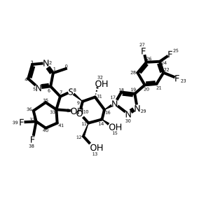 Cc1nccnc1C(S[C@@H]1O[C@H](CO)[C@H](O)[C@H](n2cc(-c3cc(F)c(F)c(F)c3)nn2)[C@H]1O)C1(O)CCC(F)(F)CC1